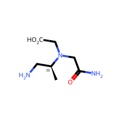 C[C@@H](CN)N(CC(N)=O)CC(=O)O